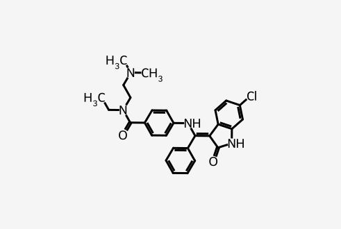 CCN(CCN(C)C)C(=O)c1ccc(NC(=C2C(=O)Nc3cc(Cl)ccc32)c2ccccc2)cc1